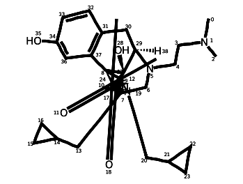 CN(C)CCN1CC[C@]23CC(=O)N(CC4CC4)C(=O)N(CC4CC4)CCC[C@@]2(O)[C@H]1Cc1ccc(O)cc13